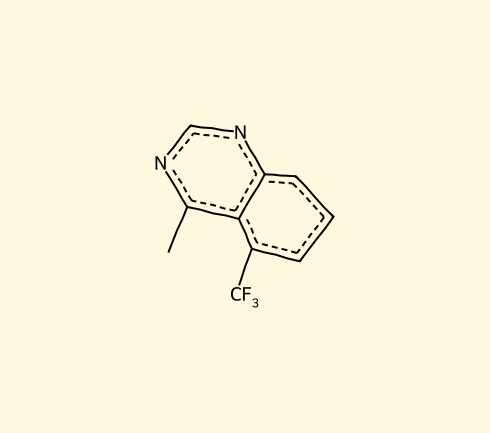 Cc1ncnc2cccc(C(F)(F)F)c12